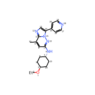 CCO[C@H]1CC[C@H](Nc2cc(C)c3ncc(-c4ccncc4)n3n2)CC1